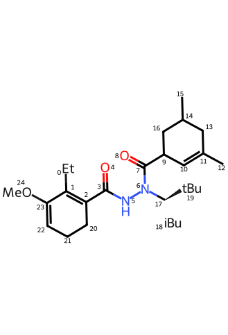 CCC1=C(C(=O)NN(C(=O)C2C=C(C)CC(C)C2)[C@H]([C@H](C)CC)C(C)(C)C)CCC=C1OC